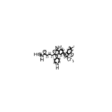 CC1(C)CC(=O)c2c(C(F)(F)F)nn(-c3ccc(C(N)=O)c(N(CCCCC(=O)NO)C4CCNCC4)c3)c2C1